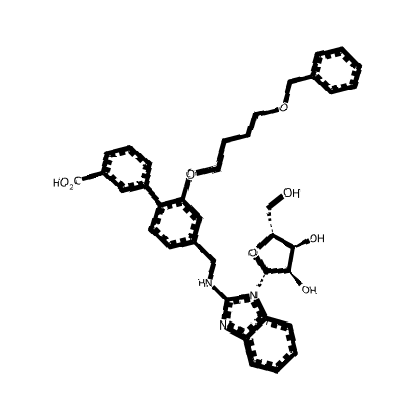 O=C(O)c1cccc(-c2ccc(CNc3nc4ccccc4n3[C@@H]3O[C@H](CO)[C@@H](O)[C@H]3O)cc2OCCCCOCc2ccccc2)c1